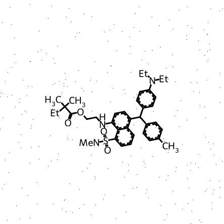 CCN(CC)c1ccc(C(c2ccc(C)cc2)c2ccc(NCCOC(=O)C(C)(C)CC)c3c(S(=O)(=O)NC)cccc23)cc1